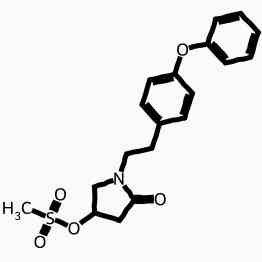 CS(=O)(=O)OC1CC(=O)N(CCc2ccc(Oc3ccccc3)cc2)C1